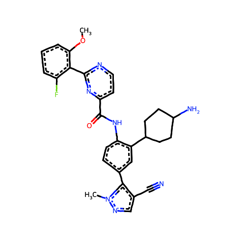 COc1cccc(F)c1-c1nccc(C(=O)Nc2ccc(-c3c(C#N)cnn3C)cc2C2CCC(N)CC2)n1